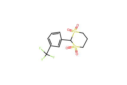 O=S1(=O)CCCS(=O)(=O)C1c1cccc(C(F)(F)F)c1